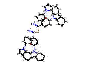 N=C(SC(=N)c1ccc(-n2c3ccccc3c3ccc4ccn(-c5ccccc5)c4c32)cc1)c1ccc(-n2c3ccccc3c3ccc4ccn(-c5ccccc5)c4c32)cc1